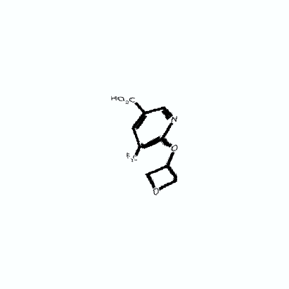 O=C(O)c1cnc(OC2COC2)c(C(F)(F)F)c1